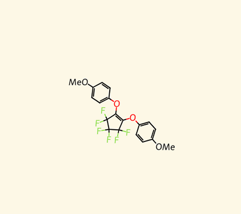 COc1ccc(OC2=C(Oc3ccc(OC)cc3)C(F)(F)C(F)(F)C2(F)F)cc1